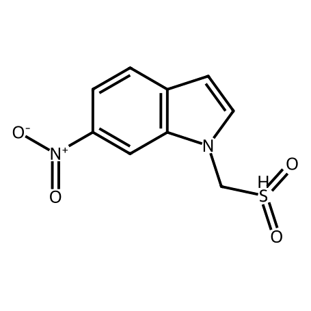 O=[N+]([O-])c1ccc2ccn(C[SH](=O)=O)c2c1